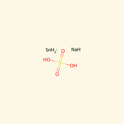 O=S(=O)(O)O.[NaH].[SnH2]